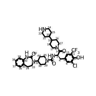 O=C(N[C@H](Cc1cc(Cl)c(O)c(C(F)(F)F)c1)C(=O)N1CCC(C2CCNCC2)CC1)N1CCC(N2CCc3ccccc3NC2=O)CC1